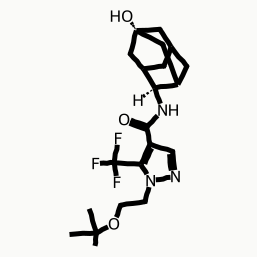 CC(C)(C)OCCn1ncc(C(=O)N[C@H]2C3CC4CC2C[C@](O)(C4)C3)c1C(F)(F)F